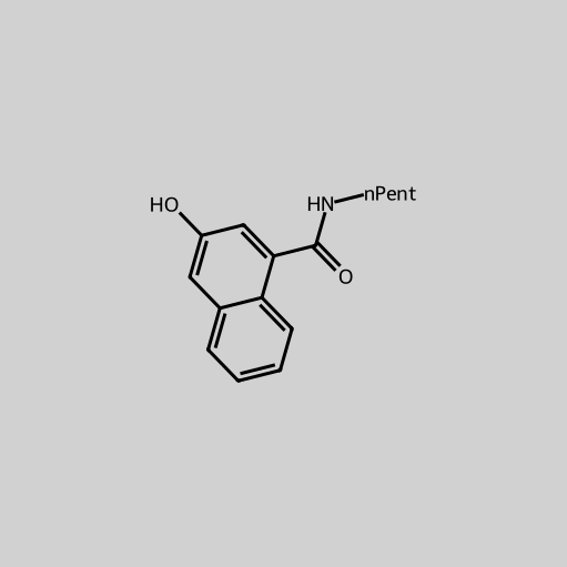 CCCCCNC(=O)c1cc(O)cc2ccccc12